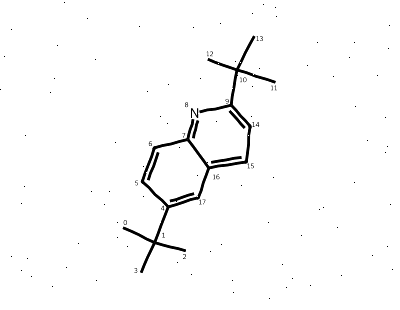 CC(C)(C)c1ccc2nc(C(C)(C)C)ccc2c1